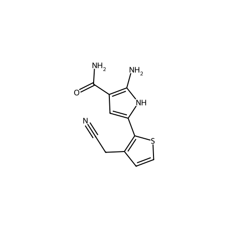 N#CCc1ccsc1-c1cc(C(N)=O)c(N)[nH]1